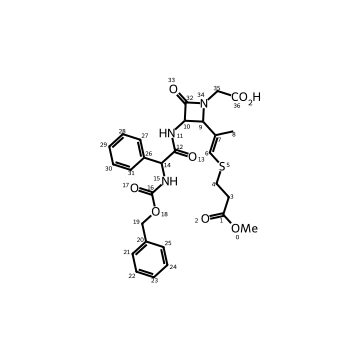 COC(=O)CCSC=C(C)C1C(NC(=O)C(NC(=O)OCc2ccccc2)c2ccccc2)C(=O)N1CC(=O)O